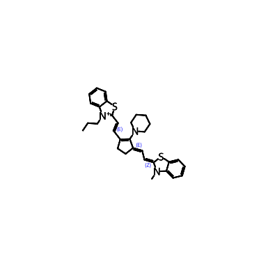 CCC[n+]1c(/C=C/C2=C(N3CCCCC3)C(=C/C=C3\Sc4ccccc4N3C)/CC2)sc2ccccc21